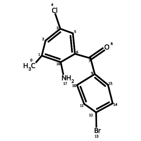 Cc1cc(Cl)cc(C(=O)c2ccc(Br)cc2)c1N